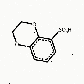 O=S(=O)(O)c1cccc2c1OCCO2